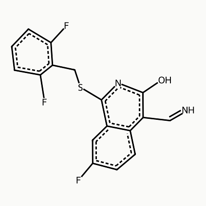 N=Cc1c(O)nc(SCc2c(F)cccc2F)c2cc(F)ccc12